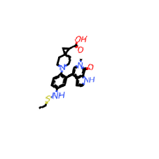 CCSNc1ccc(N2CCC3(CC2)CC3C(=O)O)c(-c2cn(C)c(=O)c3[nH]ccc23)c1